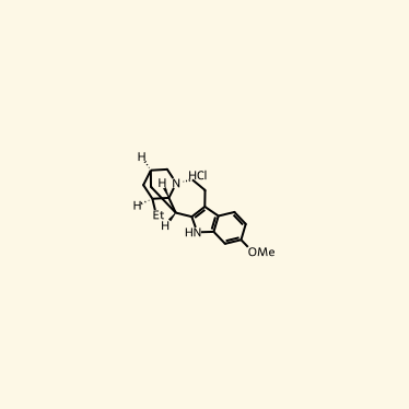 CC[C@H]1C[C@@H]2C[C@H]3c4[nH]c5cc(OC)ccc5c4CC[N@@](C2)[C@@H]13.Cl